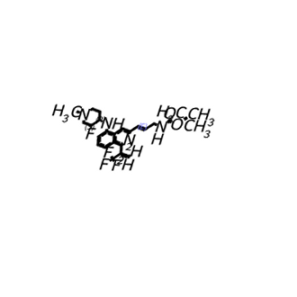 [2H]C([2H])=C(c1nc(/C=C/CNC(=O)OC(C)(C)C)cc2c(N[C@@H]3CCN(C)C[C@@H]3F)cccc12)C(F)(F)F